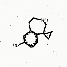 Oc1ccc2c(c1)CCNCC21CC1